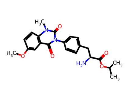 COc1ccc2c(c1)c(=O)n(-c1ccc(C[C@H](N)C(=O)OC(C)C)cc1)c(=O)n2C